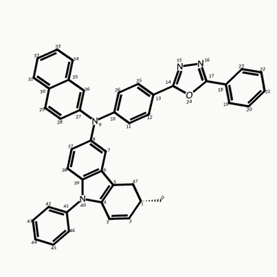 C[C@@H]1C=Cc2c(c3cc(N(c4ccc(-c5nnc(-c6ccccc6)o5)cc4)c4ccc5ccccc5c4)ccc3n2-c2ccccc2)C1